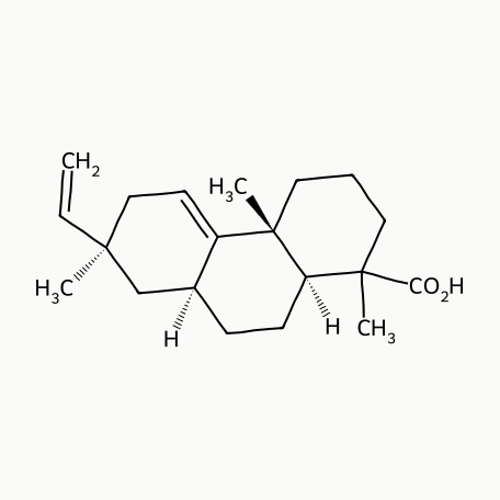 C=C[C@@]1(C)CC=C2[C@@H](CC[C@@H]3C(C)(C(=O)O)CCC[C@@]23C)C1